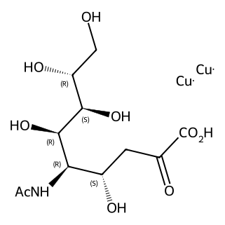 CC(=O)N[C@@H]([C@@H](O)[C@H](O)[C@H](O)CO)[C@@H](O)CC(=O)C(=O)O.[Cu].[Cu]